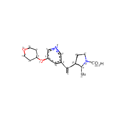 C=C(c1cncc(OC2CCOCC2)c1)C1CCN(C(=O)O)C1C(C)(C)C